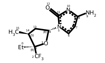 CC[C@@]1(C(F)(F)F)O[C@@H](n2ccc(N)nc2=O)C[C@@H]1C